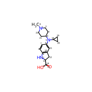 CN1CCC(N(c2ccc3c(c2)CC(C(=O)O)N3)C2CC2)CC1